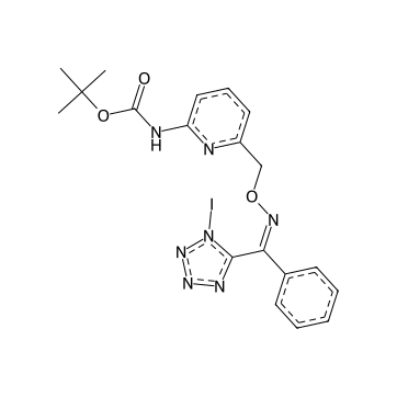 CC(C)(C)OC(=O)Nc1cccc(CO/N=C(/c2ccccc2)c2nnnn2I)n1